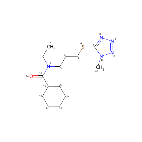 CCN(CCCSc1nnnn1C)C(=O)C1CCCCC1